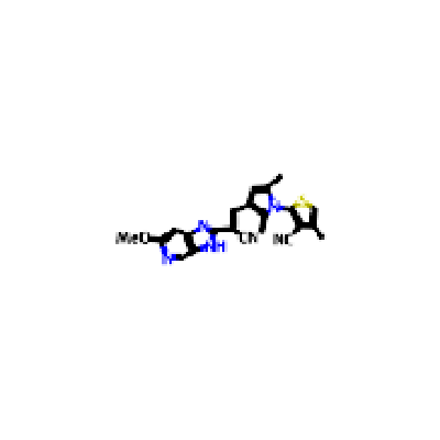 COc1cc2nc(C(C#N)=Cc3cc(C)n(-c4scc(C)c4C#N)c3C)[nH]c2cn1